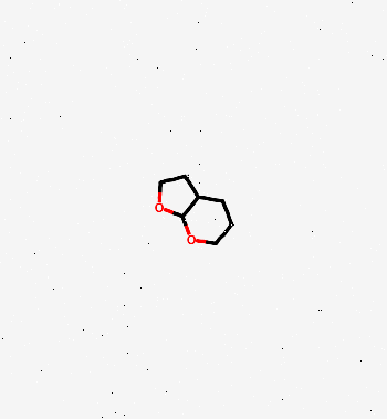 [C]1COC2OCCCC12